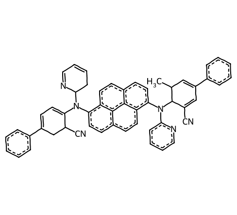 CC1C=C(c2ccccc2)C=C(C#N)C1N(c1ccccn1)c1ccc2ccc3c(N(C4=CC=C(c5ccccc5)CC4C#N)C4CC=CC=N4)ccc4ccc1c2c43